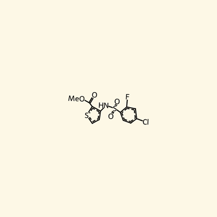 COC(=O)c1sccc1NS(=O)(=O)c1ccc(Cl)cc1F